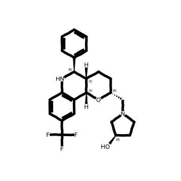 O[C@@H]1CCN(C[C@H]2CC[C@@H]3[C@H](O2)c2cc(C(F)(F)F)ccc2N[C@H]3c2ccccc2)C1